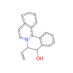 C=CC1C(O)c2ccccc2-c2c3ccccc3cc[n+]21